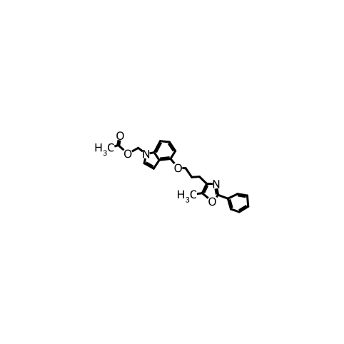 CC(=O)OCn1ccc2c(OCCCc3nc(-c4ccccc4)oc3C)cccc21